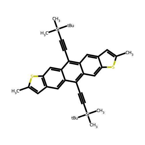 Cc1cc2cc3c(C#C[Si](C)(C)C(C)(C)C)c4cc5sc(C)cc5cc4c(C#C[Si](C)(C)C(C)(C)C)c3cc2s1